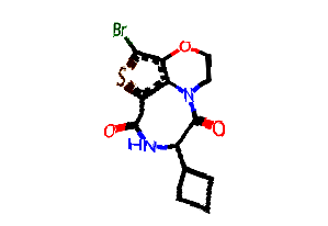 O=C1NC(C2CCC2)C(=O)N2CCOc3c(Br)sc1c32